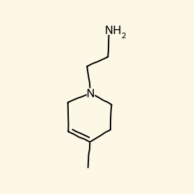 CC1=CCN(CCN)CC1